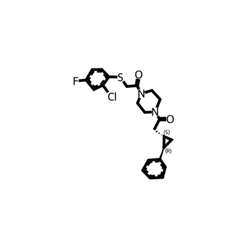 O=C(CSc1ccc(F)cc1Cl)N1CCN(C(=O)C[C@@H]2C[C@H]2c2ccccc2)CC1